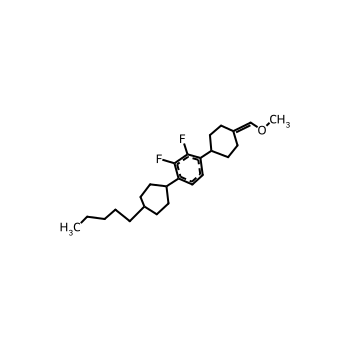 CCCCCC1CCC(c2ccc(C3CCC(=COC)CC3)c(F)c2F)CC1